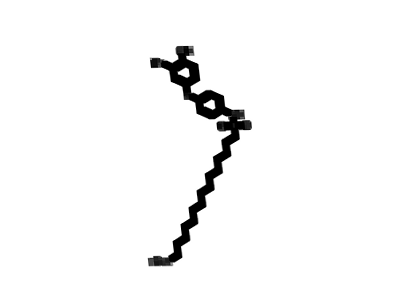 CCCCCCCCCCCCCCCCCCCCCCCCCS(=O)(=O)Nc1ccc(Sc2ccc(O)c(C(C)C)c2)cc1